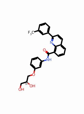 O=C(Nc1cccc(OC[C@@H](O)CO)c1)c1cccc2ccc(-c3cccc(C(F)(F)F)c3)nc12